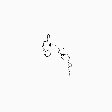 CCCOC1CCN(CC(C)CN2C(=O)CSc3ccccc32)CC1